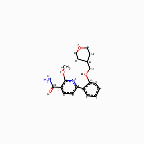 COc1nc(-c2ccccc2OCC2CCOCC2)ccc1C(N)=O